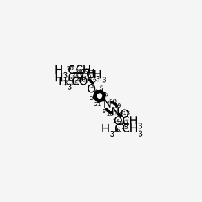 CC(COc1ccc(N2CCN(C(=O)OC(C)(C)C)CC2)cc1)O[Si](C)(C)C(C)(C)C